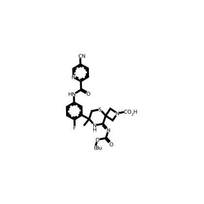 CC(C)(C)OC(=O)N=C1NC(C)(c2cc(NC(=O)c3ccc(C#N)cn3)ccc2F)CSC12CN(C(=O)O)C2